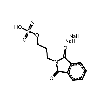 O=C1c2ccccc2C(=O)N1CCCOS(=O)(O)=S.[NaH].[NaH]